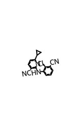 N#Cc1ccc(C2CC2)nc1Nc1cccc(C#N)c1Cl